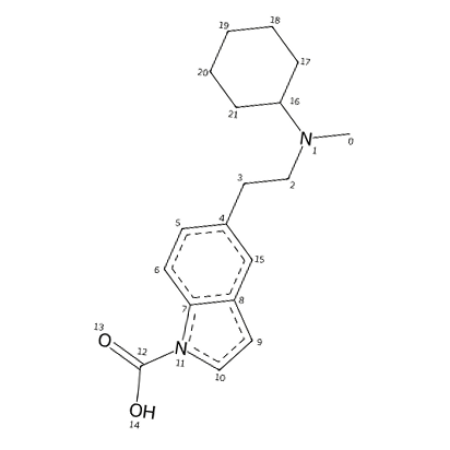 CN(CCc1ccc2c(ccn2C(=O)O)c1)C1CCCCC1